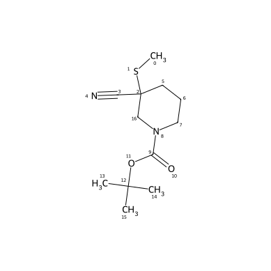 CSC1(C#N)CCCN(C(=O)OC(C)(C)C)C1